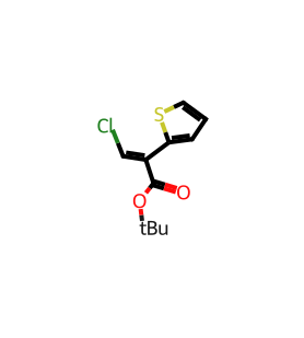 CC(C)(C)OC(=O)/C(=C/Cl)c1cccs1